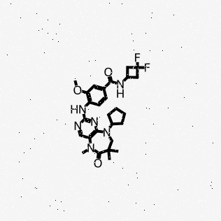 COc1cc(C(=O)NC2CC(F)(F)C2)ccc1Nc1ncc2c(n1)N(C1CCCC1)CC(C)(C)C(=O)N2C